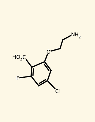 NCCOc1cc(Cl)cc(F)c1C(=O)O